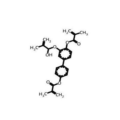 C=C(C)C(=O)Oc1ccc(-c2ccc(OC(=O)C(=C)C)c(OC(O)C(=C)C)c2)cc1